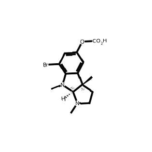 CN1CC[C@@]2(C)c3cc(OC(=O)O)cc(Br)c3N(C)[C@H]12